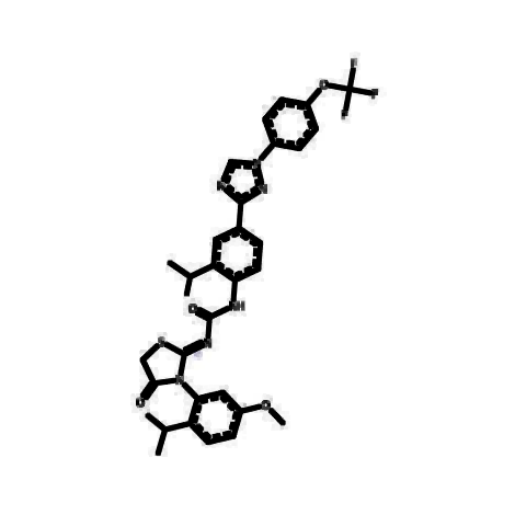 COc1ccc(C(C)C)c(N2C(=O)CS/C2=N\C(=O)Nc2ccc(-c3ncn(-c4ccc(OC(F)(F)F)cc4)n3)cc2C(C)C)c1